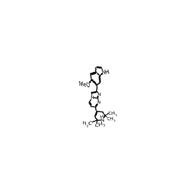 COc1cc2cc[nH]c2cc1-c1cn2ccc(C3=CC(C)(C)NC(C)(C)C3)nc2n1